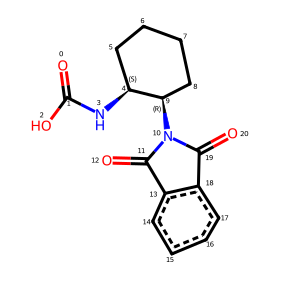 O=C(O)N[C@H]1CCCC[C@H]1N1C(=O)c2ccccc2C1=O